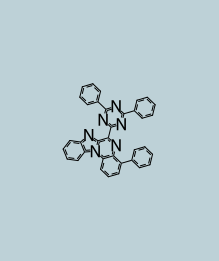 c1ccc(-c2nc(-c3ccccc3)nc(-c3nc4c(-c5ccccc5)cccc4n4c3nc3ccccc34)n2)cc1